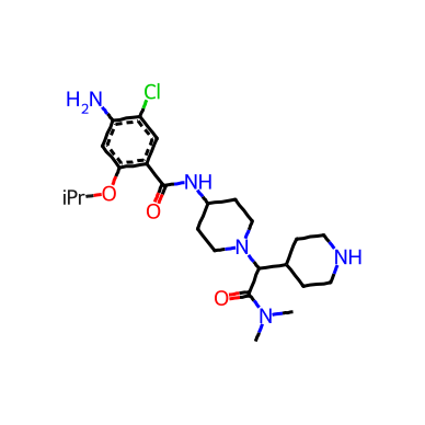 CC(C)Oc1cc(N)c(Cl)cc1C(=O)NC1CCN(C(C(=O)N(C)C)C2CCNCC2)CC1